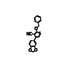 N#Cc1c(-c2ccc3c(c2)OCO3)csc1OCc1ccccc1